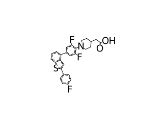 O=C(O)CC1CCN(c2c(F)cc(-c3cccc4sc(-c5ccc(F)cc5)cc34)cc2F)CC1